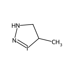 CC1CNN=I1